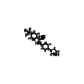 Cl.O=C(Nc1ccc(C2CCNC2)cc1)c1ccc(C(F)(F)F)cn1